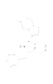 Cc1ccc2[nH]cc(C3(O)C(=O)N(Cc4ccccc4)c4ccccc43)c2c1